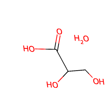 O.O=C(O)C(O)CO